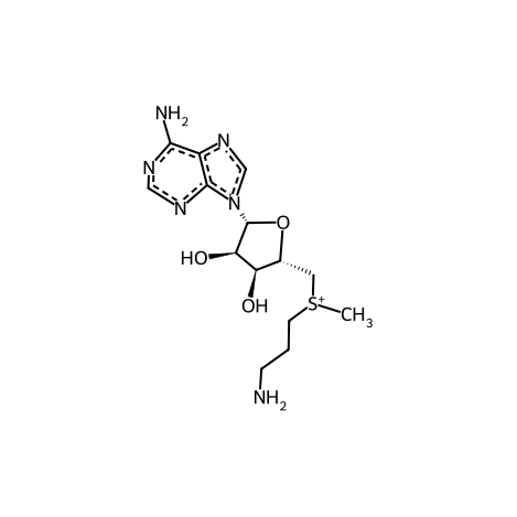 C[S+](CCCN)C[C@H]1O[C@@H](n2cnc3c(N)ncnc32)[C@H](O)[C@@H]1O